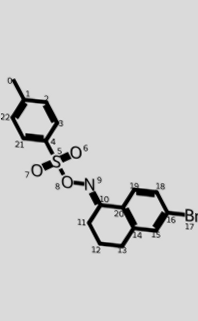 Cc1ccc(S(=O)(=O)O/N=C2\CCCc3cc(Br)ccc32)cc1